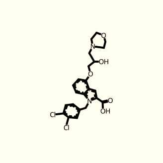 O=C(O)c1cc2c(OCC(O)CN3CCOCC3)cccc2n1Cc1ccc(Cl)c(Cl)c1